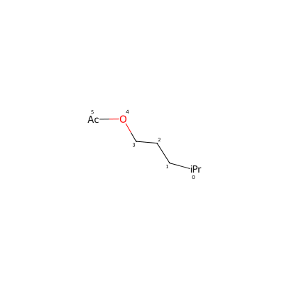 [CH2]C(C)CCCOC(C)=O